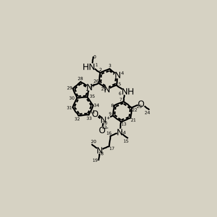 CNc1cnc(Nc2cc([N+](=O)[O-])c(N(C)CCN(C)C)cc2OC)nc1-n1ccc2ccccc21